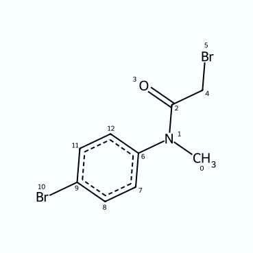 CN(C(=O)CBr)c1ccc(Br)cc1